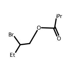 CCC(Br)COC(=O)C(C)C